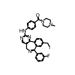 CN1CCN(C(=O)c2ccc(Nc3ncc4c(n3)-c3ccc(CI)cc3C(c3cccc(F)c3)=NC4)cc2)CC1